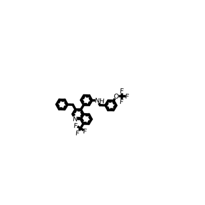 FC(F)(F)Oc1cccc(CNc2cccc(-c3c(Cc4ccccc4)cnc4c(C(F)(F)F)cccc34)c2)c1